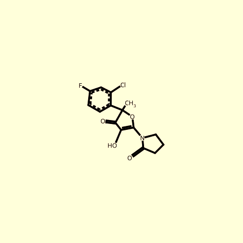 CC1(c2ccc(F)cc2Cl)OC(N2CCCC2=O)=C(O)C1=O